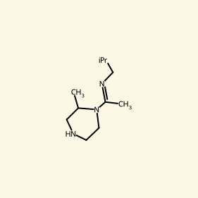 CC(=NCC(C)C)N1CCNCC1C